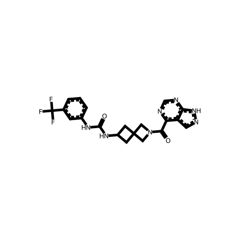 O=C(Nc1cccc(C(F)(F)F)c1)NC1CC2(C1)CN(C(=O)c1ncnc3[nH]ncc13)C2